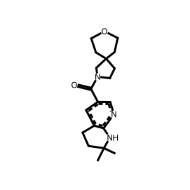 CC1(C)CCc2cc(C(=O)N3CCC4(CCOCC4)C3)cnc2N1